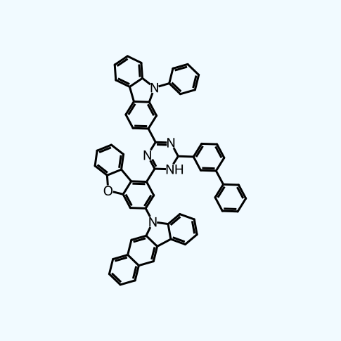 c1ccc(-c2cccc(C3N=C(c4ccc5c6ccccc6n(-c6ccccc6)c5c4)N=C(c4cc(-n5c6ccccc6c6cc7ccccc7cc65)cc5oc6ccccc6c45)N3)c2)cc1